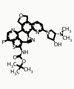 CN(C)[C@H]1CN(c2ccc3c4c(c(-c5ncc(F)c6sc(NC(=O)OC(C)(C)C)c(C#N)c56)c(Cl)c3n2)COC4)C[C@H]1O